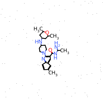 Cc1ccc2nc(N3CCC(NC4CC(C)OC(C)C4)CC3)c(C(=O)NC(C)N)cc2c1